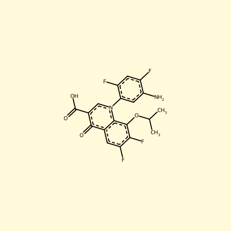 CC(C)Oc1c(F)c(F)cc2c(=O)c(C(=O)O)cn(-c3cc(N)c(F)cc3F)c12